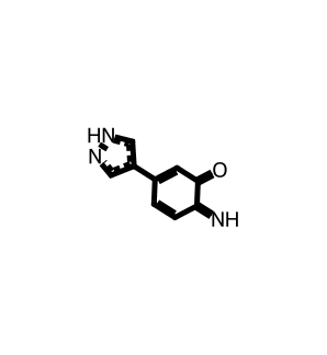 N=C1C=CC(c2cn[nH]c2)=CC1=O